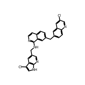 Clc1cnc2ccc(Cc3ccc4ccnc(NCc5cnc6[nH]cc(Cl)c6c5)c4c3)cc2c1